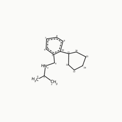 CC(C)NCc1ccccc1C1CCCCC1